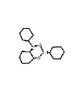 O[SiH](O[SiH](C1CCCCC1)C1CCCCC1)C1CCCCC1